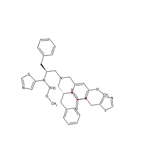 COC(=O)N(c1cncs1)[C@@H](Cc1ccccc1)CN(Cc1cccc(OC)c1)C[C@@H](Cc1ccccc1)NC(=O)OCc1cncs1